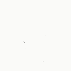 CCC(=O)N1CCC(c2noc3cc(F)ccc23)CC1.Cl